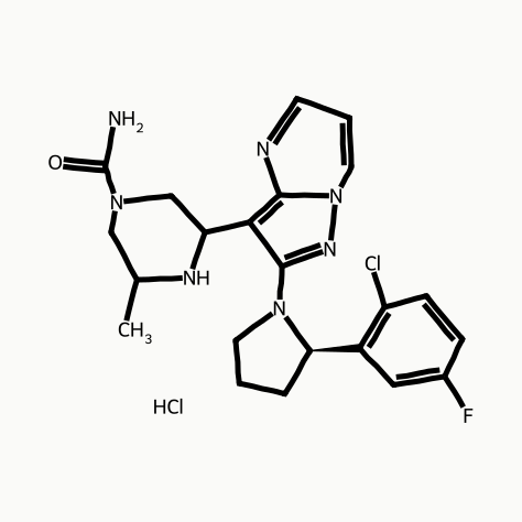 CC1CN(C(N)=O)CC(c2c(N3CCC[C@@H]3c3cc(F)ccc3Cl)nn3cccnc23)N1.Cl